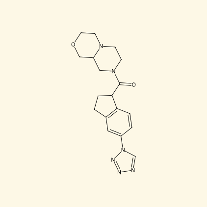 O=C(C1CCc2cc(-n3cnnn3)ccc21)N1CCN2CCOCC2C1